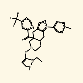 CCN1NCC=C1SN1CCC2Cc3c(cnn3-c3ccc(F)cc3)CC2(C(=O)c2cc(C(F)(F)F)ccn2)C1